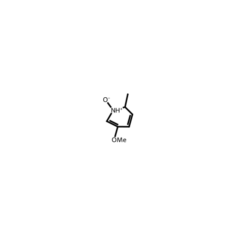 COC1=C[NH+]([O-])C(C)C=C1